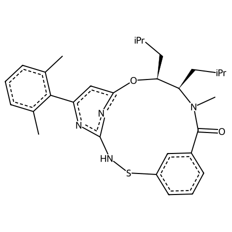 Cc1cccc(C)c1-c1cc2nc(n1)NSc1cccc(c1)C(=O)N(C)[C@H](CC(C)C)[C@H](CC(C)C)O2